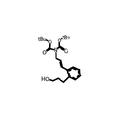 CC(C)(C)OC(=O)N(C/C=C/c1ccccc1CCCO)C(=O)OC(C)(C)C